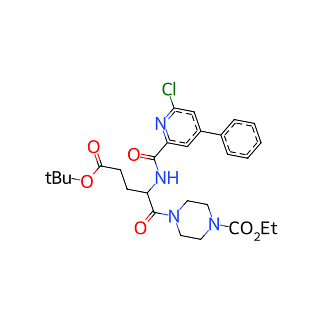 CCOC(=O)N1CCN(C(=O)C(CCC(=O)OC(C)(C)C)NC(=O)c2cc(-c3ccccc3)cc(Cl)n2)CC1